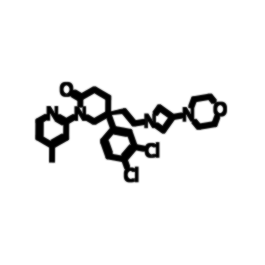 Cc1ccnc(N2C[C@@](CCN3CC(N4CCOCC4)C3)(c3ccc(Cl)c(Cl)c3)CCC2=O)c1